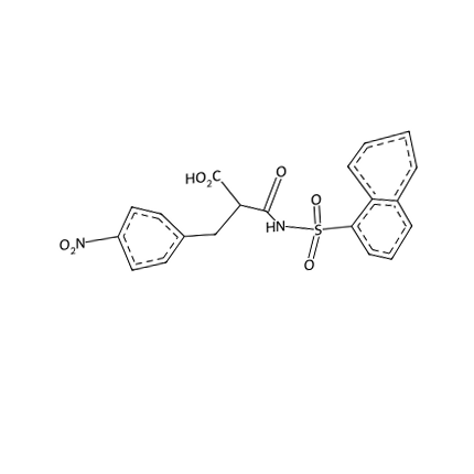 O=C(O)C(Cc1ccc([N+](=O)[O-])cc1)C(=O)NS(=O)(=O)c1cccc2ccccc12